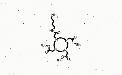 CC(C)(C)OC(=O)CN1CCN(CC(=O)NCCCCN)CCN(CC(=O)OC(C)(C)C)CCN(CC(=O)OC(C)(C)C)CC1